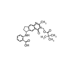 Cc1nc2cc3c(cc2c(=O)n1COC(=O)C(C)(C)C)C(Nc1ccccc1C(=O)O)CC3